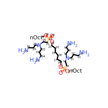 CCCCCCCCOP(=O)(CCN(CCCN)CCCN)OCCCCCCOP(=O)(CCN(CCCN)CCCN)OCCCCCCCC